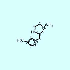 Cc1cnn(CC2CN(C)CCN2)c1